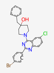 OC1(Cc2ccccc2)CCN(c2nc(-c3ccc(Br)cc3)nc3ccc(Cl)cc23)CC1